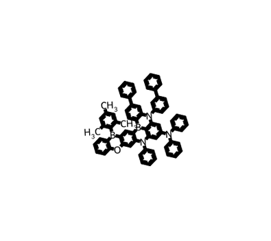 Cc1cc(C)c(B2c3ccccc3Oc3cc4c(cc32)B2c3ccc(-c5ccccc5)cc3N(c3cccc(-c5ccccc5)c3)c3cc(N(c5ccccc5)c5ccccc5)cc(c32)N4c2ccccc2)c(C)c1